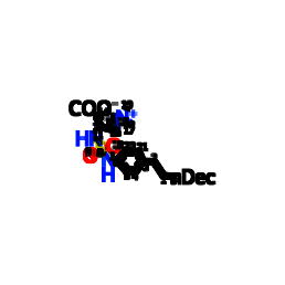 CCCCCCCCCCCCc1ccc(NS(=O)(=O)NC(CC(=O)[O-])C[N+](C)(C)C)cc1